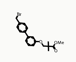 COC(=O)C(C)(C)COc1cccc(-c2ccc(CBr)cc2)c1